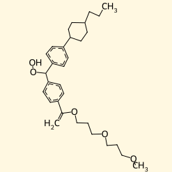 C=C(OCCCOCCCOC)c1ccc(C(OO)c2ccc(C3CCC(CCC)CC3)cc2)cc1